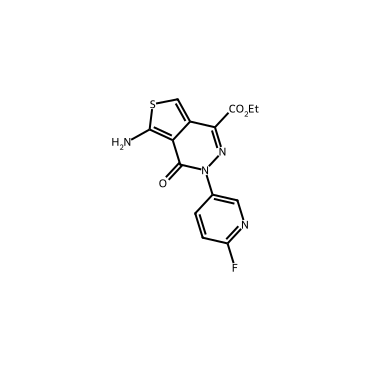 CCOC(=O)c1nn(-c2ccc(F)nc2)c(=O)c2c(N)scc12